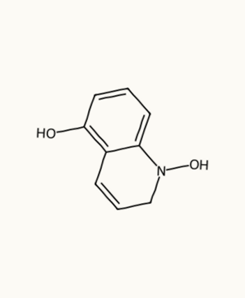 Oc1cccc2c1C=CCN2O